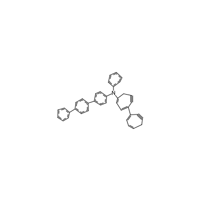 C1#CC(C2=CC=C(N(c3ccccc3)c3ccc(-c4ccc(-c5ccccc5)cc4)cc3)CC#C2)=CC=CC1